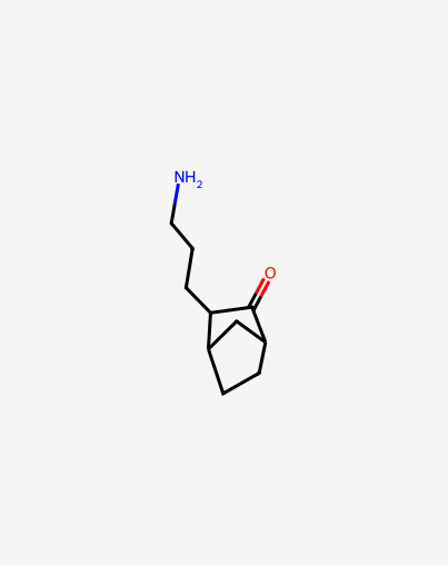 NCCCC1C(=O)C2CCC1C2